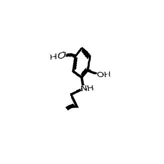 C=CCNc1cc(O)ccc1O